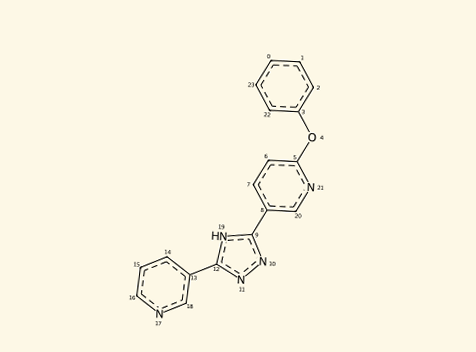 c1ccc(Oc2ccc(-c3nnc(-c4cccnc4)[nH]3)cn2)cc1